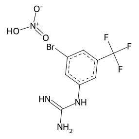 N=C(N)Nc1cc(Br)cc(C(F)(F)F)c1.O=[N+]([O-])O